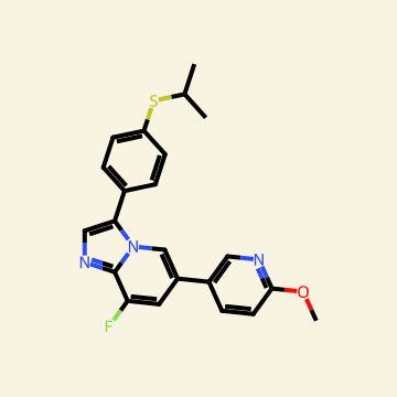 COc1ccc(-c2cc(F)c3ncc(-c4ccc(SC(C)C)cc4)n3c2)cn1